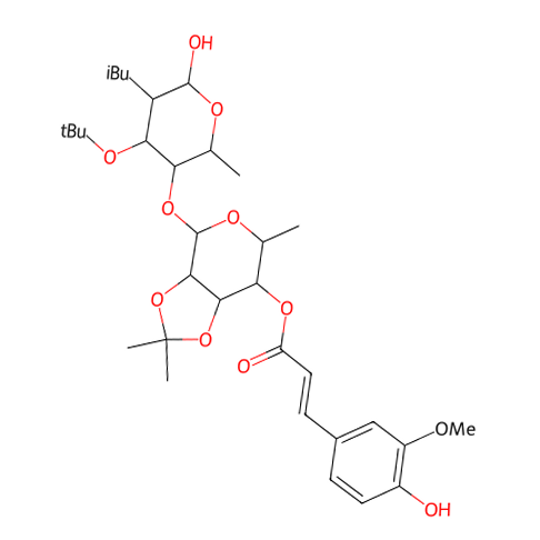 CCC(C)C1C(O)OC(C)C(OC2OC(C)C(OC(=O)/C=C/c3ccc(O)c(OC)c3)C3OC(C)(C)OC23)C1OC(C)(C)C